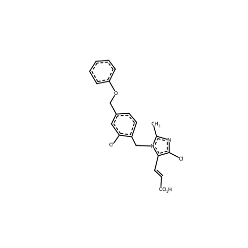 Cc1nc(Cl)c(C=CC(=O)O)n1Cc1ccc(COc2ccccc2)cc1Cl